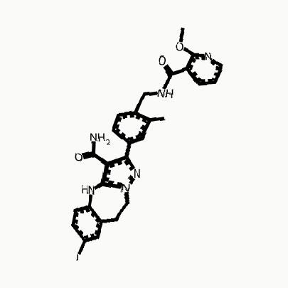 COc1ncccc1C(=O)NCc1ccc(-c2nn3c(c2C(N)=O)Nc2ccc(I)cc2CC3)cc1C